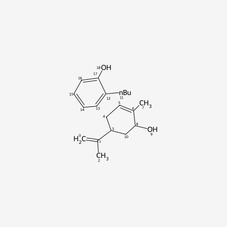 C=C(C)C1CC=C(C)C(O)C1.CCCCc1ccccc1O